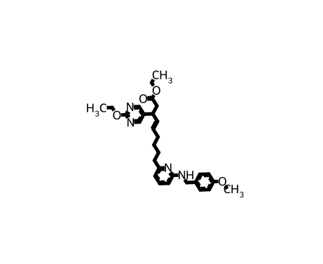 CCOC(=O)CC(C=CCCCCc1cccc(NCc2ccc(OC)cc2)n1)c1cnc(OCC)nc1